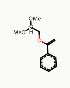 C=C(OC[SiH](OC)OC)c1ccccc1